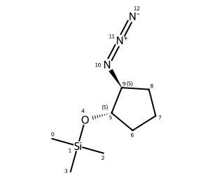 C[Si](C)(C)O[C@H]1CCC[C@@H]1N=[N+]=[N-]